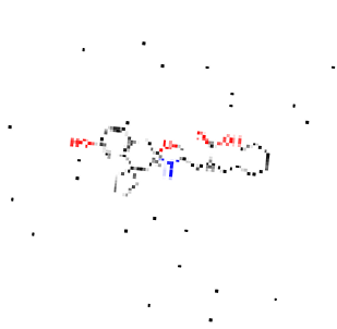 CCC1(CC)C[C@@](NCC[C@H](CC2CCCCC2)C(=O)O)(OC)Cc2ccc(O)cc21